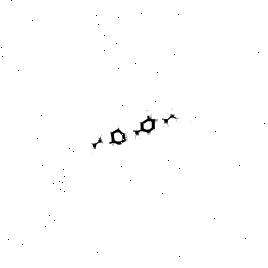 C=C(C)C(=O)Sc1ccc(OC(=O)c2ccc(SC(=O)C(=C)C)c(F)c2)cc1